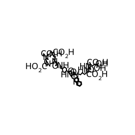 O=C(O)CN1CCN(CC(=O)O)CCN(CC(=O)NCC2CCC(C(=O)NC(Cc3ccc4ccccc4c3)C(=O)NCCCCC(NC(=O)NC(CCC(O)O)C(=O)O)C(=O)O)CC2)CCN(CC(=O)O)CC1